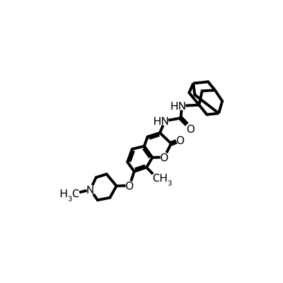 Cc1c(OC2CCN(C)CC2)ccc2cc(NC(=O)NC34CC5CC(CC(C5)C3)C4)c(=O)oc12